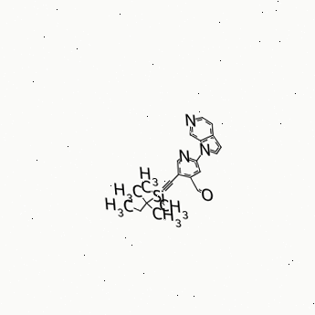 CCC(C)(C)[Si](C)(C)C#Cc1cnc(-n2ccc3ccncc32)cc1C=O